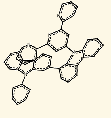 c1ccc(-n2c3cc(-c4cccc5c6ccccc6n(-c6cc(-c7ccccn7)nc(-c7ccccn7)c6)c45)ccc3c3ncccc32)cc1